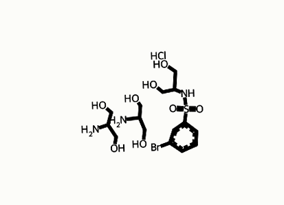 Cl.NC(CO)CO.NC(CO)CO.O=S(=O)(NC(CO)CO)c1cccc(Br)c1